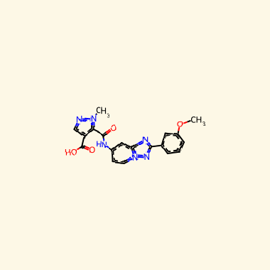 COc1cccc(-c2nc3cc(NC(=O)c4c(C(=O)O)cnn4C)ccn3n2)c1